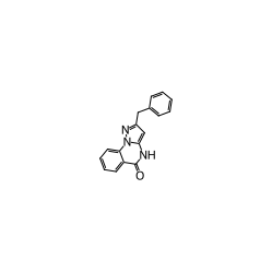 O=c1[nH]c2cc(Cc3ccccc3)nn2c2ccccc12